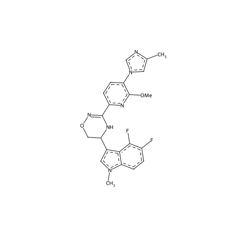 COc1nc(C2=NOCC(c3cn(C)c4ccc(F)c(F)c34)N2)ccc1-n1cnc(C)c1